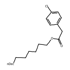 CCCCCCCCCCCCCCCCOC(=O)Cc1ccc(Cl)cc1